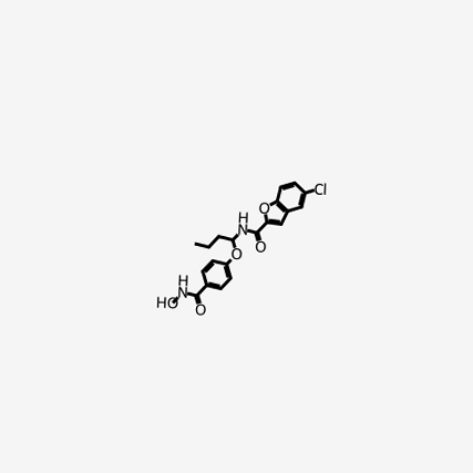 CCCC(NC(=O)c1cc2cc(Cl)ccc2o1)Oc1ccc(C(=O)NO)cc1